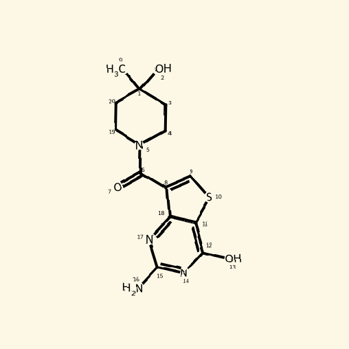 CC1(O)CCN(C(=O)c2csc3c(O)nc(N)nc23)CC1